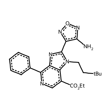 CCOC(=O)c1cnc(-c2ccccc2)c2nc(-c3nonc3N)n(CCC(C)(C)C)c12